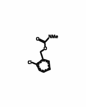 [CH2]NC(=O)OCc1ccccc1Cl